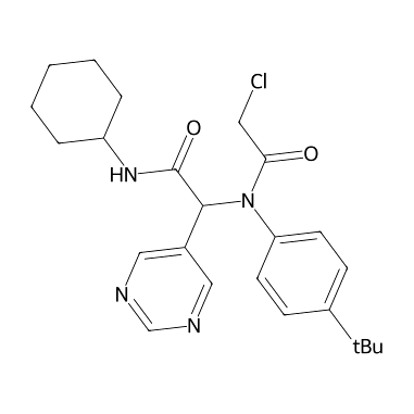 CC(C)(C)c1ccc(N(C(=O)CCl)C(C(=O)NC2CCCCC2)c2cncnc2)cc1